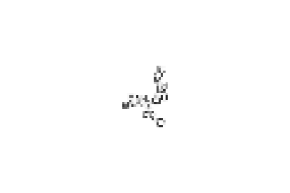 CCN/C=C(\N)CCC(c1ccc(Cl)c(Cn2ccnc2CN2CCC(CC)CC2)c1)C(C)(C)C(=O)OCc1ccccc1